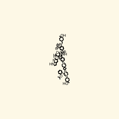 CC(C)Oc1ccccc1[C@H]1CN(C2CCC(C)(O)CC2)CCN1C1CC2(CCN(c3ccc(C(=O)NS(=O)(=O)c4ccc(NCC5CCC(C)(O)CC5)c([N+](=O)[O-])c4)c(N4c5cc6cc[nH]c6nc5O[C@H]5COCC[C@@H]54)c3)CC2)C1